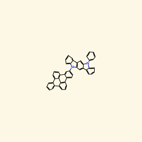 c1ccc(-n2c3ccccc3c3cc4c(cc32)c2ccccc2n4-c2ccc3c(c2)c2cccc4c5ccccc5c5cccc3c5c42)cc1